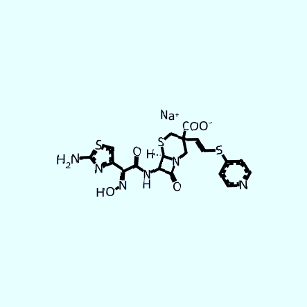 Nc1nc(C(=NO)C(=O)NC2C(=O)N3CC(C=CSc4ccncc4)(C(=O)[O-])CS[C@H]23)cs1.[Na+]